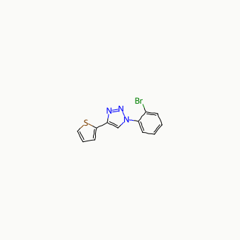 Brc1ccccc1-n1cc(-c2cccs2)nn1